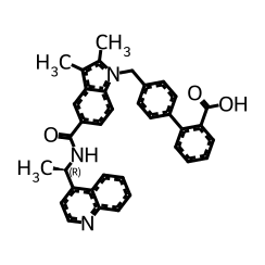 Cc1c(C)n(Cc2ccc(-c3ccccc3C(=O)O)cc2)c2ccc(C(=O)N[C@H](C)c3ccnc4ccccc34)cc12